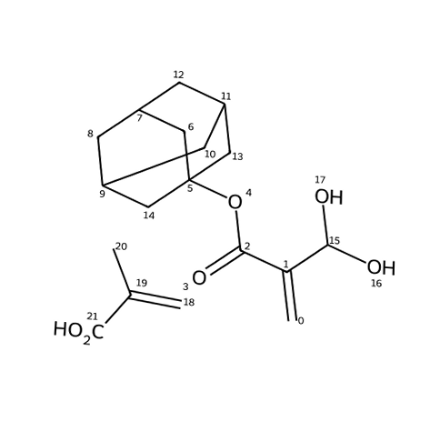 C=C(C(=O)OC12CC3CC(CC(C3)C1)C2)C(O)O.C=C(C)C(=O)O